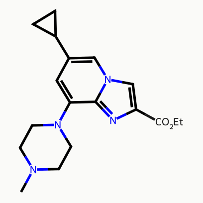 CCOC(=O)c1cn2cc(C3CC3)cc(N3CCN(C)CC3)c2n1